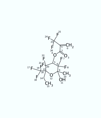 C=C(C(=O)OC1C(F)(F)C(C)(O)OC(CC)(C(F)(F)F)C1(F)F)C(F)(F)F